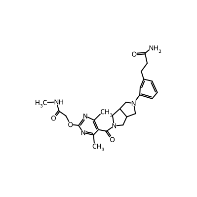 CNC(=O)COc1nc(C)c(C(=O)N2CC3CN(c4cccc(CCC(N)=O)c4)CC3C2)c(C)n1